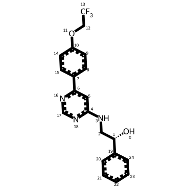 O[C@@H](CNc1cc(-c2ccc(OCC(F)(F)F)cc2)ncn1)c1ccccc1